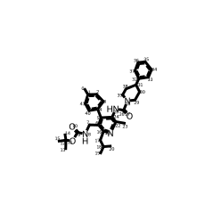 Cc1ccc(-c2c(CNC(=O)OC(C)(C)C)c(CC(C)C)nc(C)c2NC(=O)N2CCC(c3ccccc3)CC2)cc1